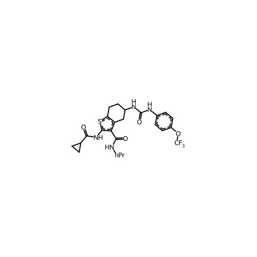 CCCNC(=O)c1c(NC(=O)C2CC2)sc2c1CC(NC(=O)Nc1ccc(OC(F)(F)F)cc1)CC2